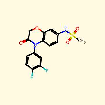 CS(=O)(=O)Nc1ccc2c(c1)OCC(=O)N2c1ccc(F)c(F)c1